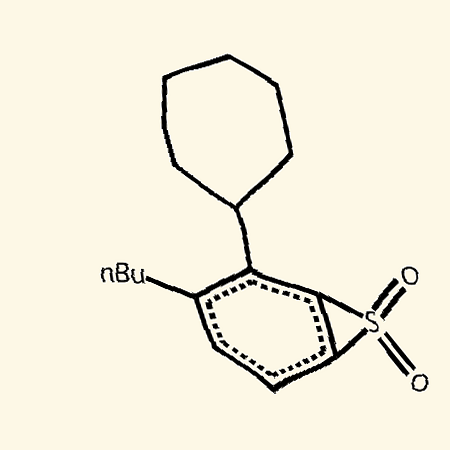 CCCCc1ccc2c(c1C1CCCCC1)S2(=O)=O